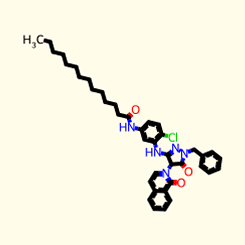 CCCCCCCCCCCCCC(=O)Nc1ccc(Cl)c(NC2=NN(Cc3ccccc3)C(=O)C2n2ccc3ccccc3c2=O)c1